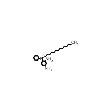 CCCCCCCCCCCCCCON(c1ccccc1)c1ccc(N)cc1N